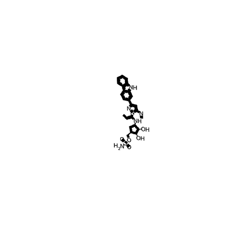 C=Nc1cc(-c2ccc3c(c2)[nH]c2ccccc23)nn1/C(=C\C)N[C@@H]1C[C@H](COS(N)(=O)=O)[C@@H](O)[C@H]1O